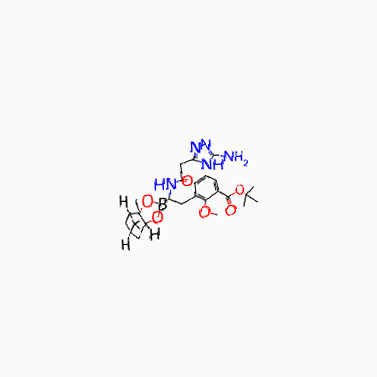 COc1c(CC(NC(=O)Cc2nnc(N)[nH]2)B2O[C@@H]3C[C@@H]4C[C@@H](C4(C)C)[C@]3(C)O2)cccc1C(=O)OC(C)(C)C